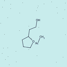 CC(C)=O.OCCC1CCCO1